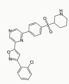 O=S(=O)(c1ccc(-c2cncc(-c3cc(-c4ccccc4Cl)no3)n2)cc1)C1CCCNC1